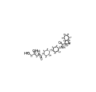 O=C(Nc1ccc([C@H]2CC[C@@H](C(=O)NCC(O)CO)CC2)cc1)c1onc2ccccc12